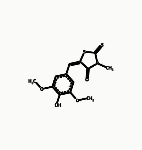 COc1cc(C=C2SC(=S)N(C)C2=O)cc(OC)c1O